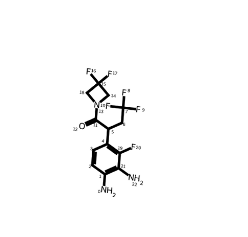 Nc1ccc(C(CC(F)(F)F)C(=O)N2CC(F)(F)C2)c(F)c1N